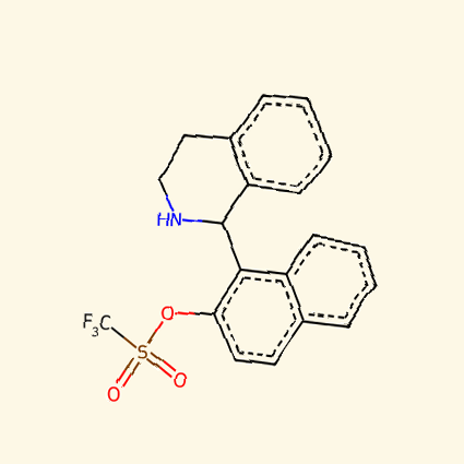 O=S(=O)(Oc1ccc2ccccc2c1C1NCCc2ccccc21)C(F)(F)F